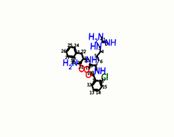 N=C(N)NCCC[C@H](NC(=O)c1ccccc1Cl)C(=O)NC(Cc1ccccc1)C(N)=O